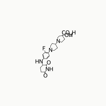 O=C1CCC(Nc2ccc(N3CCC(N4CCC(O)(C(=O)O)CC4)CC3)c(F)c2)C(=O)N1